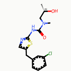 C[C@H](O)CN(C)C(=O)Nc1ncc(Cc2cccc(Cl)c2)s1